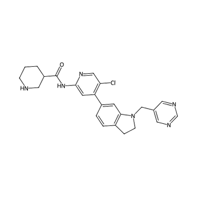 O=C(Nc1cc(-c2ccc3c(c2)N(Cc2cncnc2)CC3)c(Cl)cn1)C1CCCNC1